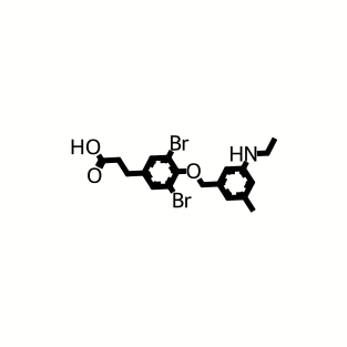 CCNc1cc(C)cc(COc2c(Br)cc(CCC(=O)O)cc2Br)c1